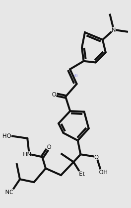 CCC(C)(CC(CC(C)C#N)C(=O)NCO)C(OO)c1ccc(C(=O)/C=C/c2ccc(N(C)C)cc2)cc1